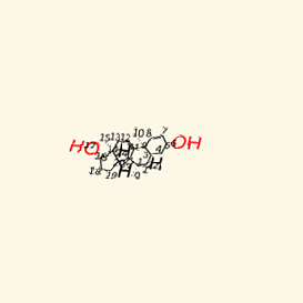 C[C@H]1C[C@@H]2C[C@@H](O)C=C[C@]2(C)C2=CC[C@]3(C)[C@@H](O)CC[C@H]3[C@@H]21